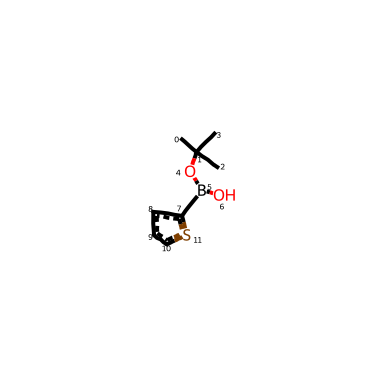 CC(C)(C)OB(O)c1cccs1